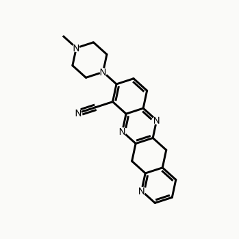 CN1CCN(c2ccc3nc4c(nc3c2C#N)Cc2ncccc2C4)CC1